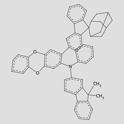 CC1(C)c2ccccc2-c2ccc(N(c3ccccc3)c3cc4c(cc3-c3ccc5c(c3)-c3ccccc3C53C5CC6CC(C5)CC3C6)Oc3ccccc3O4)cc21